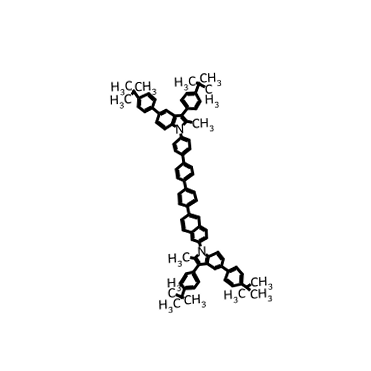 Cc1c(-c2ccc(C(C)(C)C)cc2)c2cc(-c3ccc(C(C)(C)C)cc3)ccc2n1-c1ccc(-c2ccc(-c3ccc(-c4ccc5cc(-n6c(C)c(-c7ccc(C(C)(C)C)cc7)c7cc(-c8ccc(C(C)(C)C)cc8)ccc76)ccc5c4)cc3)cc2)cc1